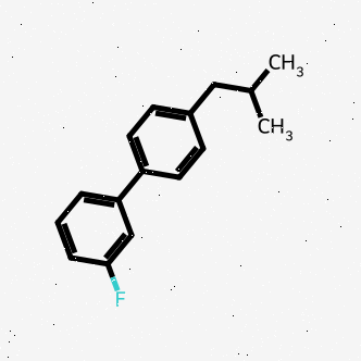 CC(C)Cc1ccc(-c2cccc(F)c2)cc1